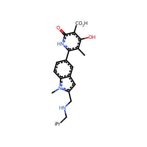 Cc1c(-c2ccc3c(c2)cc(CNCC(C)C)n3C)[nH]c(=O)c(C(=O)O)c1O